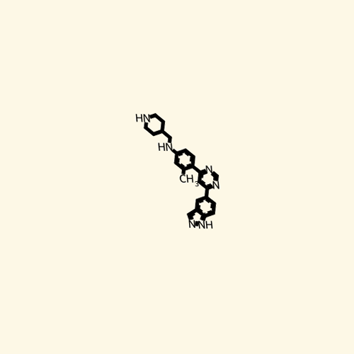 Cc1cc(NCC2CCNCC2)ccc1-c1cc(-c2ccc3[nH]ncc3c2)ncn1